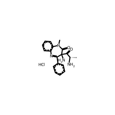 C[C@H](N)C(=O)C1(N)C(=O)N(C)c2ccccc2N=C1c1ccccc1.Cl